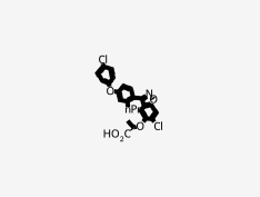 CCCc1cc(Oc2ccc(Cl)cc2)ccc1-c1noc2cc(Cl)c(O[C@@H](C)C(=O)O)cc12